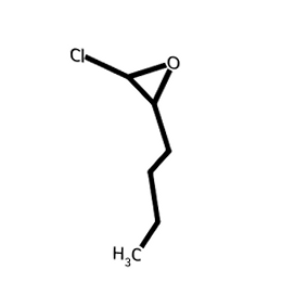 CCCCC1OC1Cl